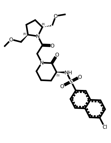 COC[C@H]1CC[C@H](COC)N1C(=O)CN1CCC[C@H](NS(=O)(=O)c2ccc3cc(Cl)ccc3c2)C1=O